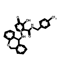 O=C(NCc1ccc(C(F)(F)F)cc1)c1c(O)c(=O)ccn1NC1c2ccccc2COc2ccccc21